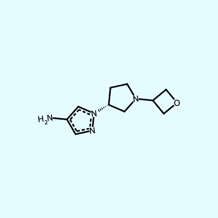 Nc1cnn([C@@H]2CCN(C3COC3)C2)c1